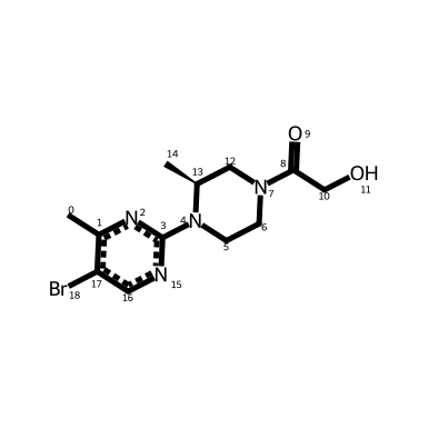 Cc1nc(N2CCN(C(=O)CO)C[C@@H]2C)ncc1Br